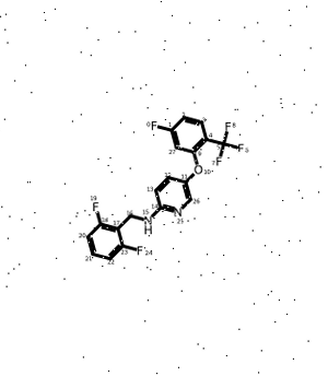 Fc1ccc(C(F)(F)F)c(Oc2ccc(NCc3c(F)cccc3F)nc2)c1